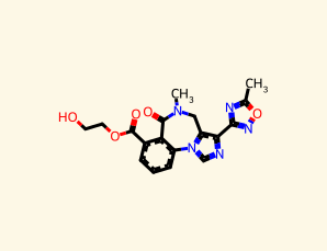 Cc1nc(-c2ncn3c2CN(C)C(=O)c2c(C(=O)OCCO)cccc2-3)no1